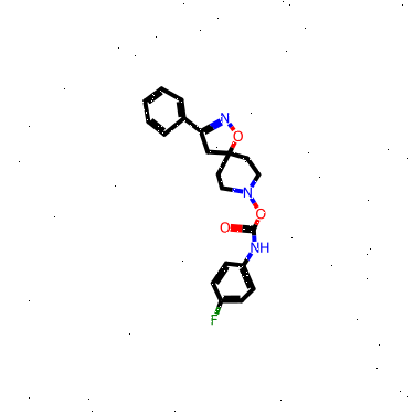 O=C(Nc1ccc(F)cc1)ON1CCC2(CC1)CC(c1ccccc1)=NO2